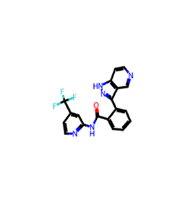 O=C(Nc1cc(C(F)(F)F)ccn1)c1ccccc1-c1n[nH]c2ccncc12